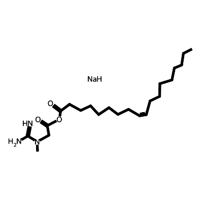 CCCCCCCC/C=C\CCCCCCCC(=O)OC(=O)CN(C)C(=N)N.[NaH]